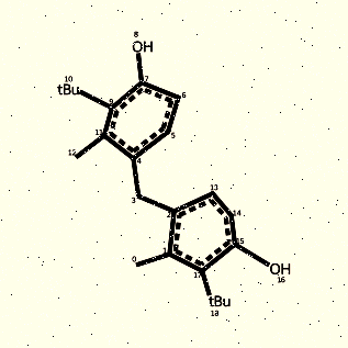 Cc1c(Cc2ccc(O)c(C(C)(C)C)c2C)ccc(O)c1C(C)(C)C